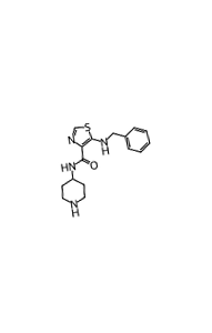 O=C(NC1CCNCC1)c1ncsc1NCc1ccccc1